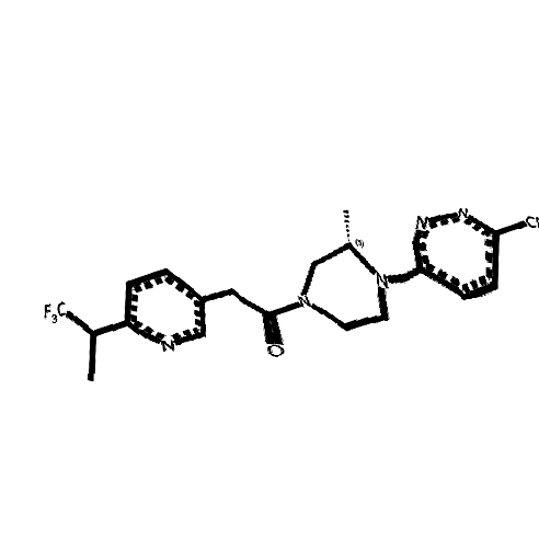 CC(c1ccc(CC(=O)N2CCN(c3ccc(C#N)nn3)[C@@H](C)C2)cn1)C(F)(F)F